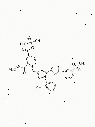 COC(=O)C1CN(C(=O)OC(C)(C)C)CCN1Cc1cc(-c2ccc(-c3cccc(S(C)(=O)=O)c3)s2)n(-c2ccccc2Cl)n1